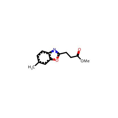 COC(=O)CCc1nc2ccc(C)cc2o1